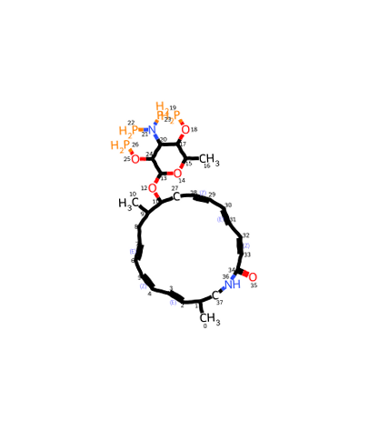 CC1/C=C/C=C\C=C\CC(C)C(OC2OC(C)C(OP)C(N(P)P)C2OP)C\C=C/C=C/C=C\C(=O)NC1